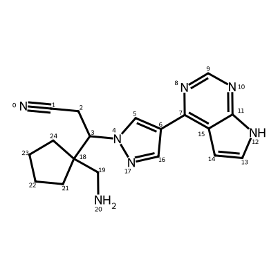 N#CCC(n1cc(-c2ncnc3[nH]ccc23)cn1)C1(CN)CCCC1